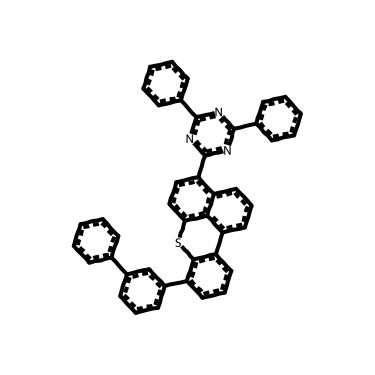 c1ccc(-c2cccc(-c3cccc4c3Sc3ccc(-c5nc(-c6ccccc6)nc(-c6ccccc6)n5)c5cccc-4c35)c2)cc1